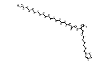 C=C(COCCCCCC[n+]1ccsc1)COC(=O)OCCCCCCCCCCCCCCCCCC